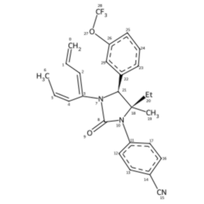 C=C/C=C(\C=C/C)N1C(=O)N(c2ccc(C#N)cc2)[C@](C)(CC)[C@@H]1c1cccc(OC(F)(F)F)c1